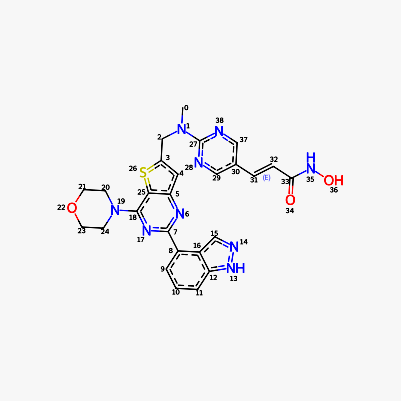 CN(Cc1cc2nc(-c3cccc4[nH]ncc34)nc(N3CCOCC3)c2s1)c1ncc(/C=C/C(=O)NO)cn1